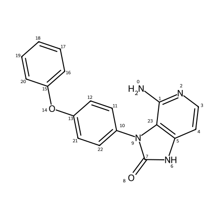 Nc1nccc2[nH]c(=O)n(-c3ccc(Oc4ccccc4)cc3)c12